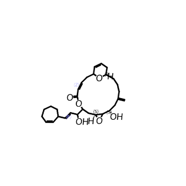 C=C1CCC[C@@H]2CC=CC(C/C=C\C(=O)OC(C(O)/C=C/C3C=CCCCC3)C[C@@H]3OC3[C@@H](O)C1)O2